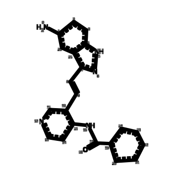 Nc1ccc2[nH]nc(C=Cc3cnccc3NC(=O)c3ccccc3)c2c1